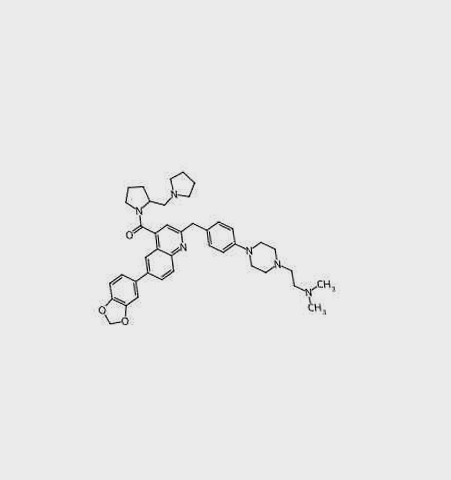 CN(C)CCN1CCN(c2ccc(Cc3cc(C(=O)N4CCCC4CN4CCCC4)c4cc(-c5ccc6c(c5)OCO6)ccc4n3)cc2)CC1